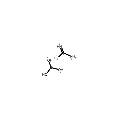 N=C(N)S.OB(O)O